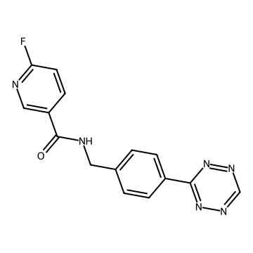 O=C(NCc1ccc(-c2nncnn2)cc1)c1ccc(F)nc1